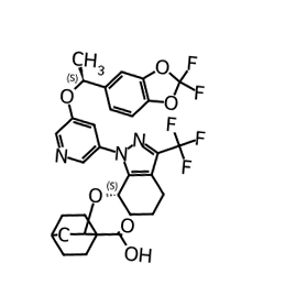 C[C@H](Oc1cncc(-n2nc(C(F)(F)F)c3c2[C@@H](OC2CC4CCC2(C(=O)O)CC4)CCC3)c1)c1ccc2c(c1)OC(F)(F)O2